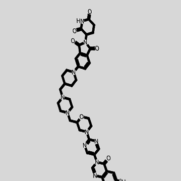 [2H]c1ccc2ncn(-c3cnc(N4CCOC(CN5CCN(CC6CCN(c7ccc8c(c7)C(=O)N(C7CCC(=O)NC7=O)C8=O)CC6)CC5)C4)nc3)c(=O)c2c1